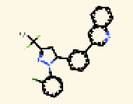 FC(F)(F)C(F)(F)C1=NN(c2ccccc2Cl)C(c2cccc(-c3cnc4ccccc4c3)c2)C1